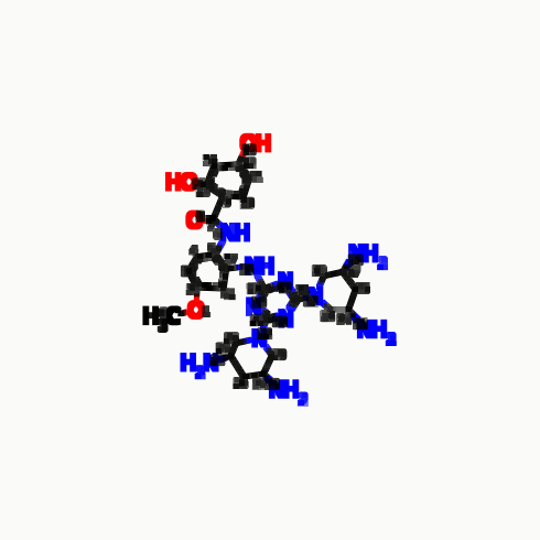 COc1ccc(NC(=O)c2ccc(O)cc2O)c(Nc2nc(N3C[C@H](N)C[C@H](N)C3)nc(N3C[C@H](N)C[C@H](N)C3)n2)c1